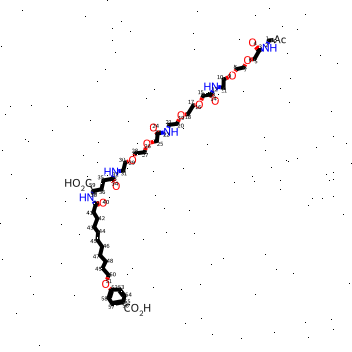 CC(=O)CNC(=O)COCCOCCNC(=O)COCCOCCNC(=O)COCCOCCNC(=O)CC[C@H](NC(=O)CCCCCCCCCCOc1ccc(C(=O)O)cc1)C(=O)O